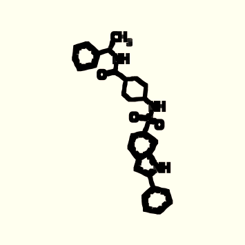 C[C@@H](NC(=O)C1CCC(NS(=O)(=O)c2ccc3cc(-c4ccccc4)[nH]c3c2)CC1)c1ccccc1